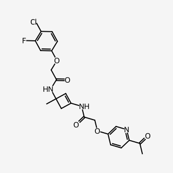 CC(=O)c1ccc(OCC(=O)NC2=CC(C)(NC(=O)COc3ccc(Cl)c(F)c3)C2)cn1